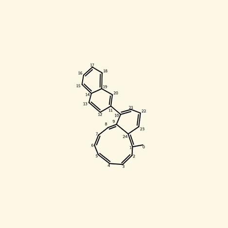 Cc1cccccccc2c(-c3ccc4ccccc4c3)cccc12